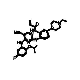 C=CC(=O)Nc1cc(N2CCN(CC)CC2)ccc1Nc1ncc(C#N)c(Nc2cc(F)ccc2OC(C)C)n1